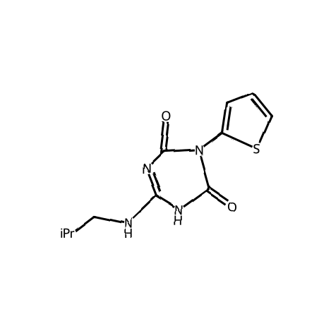 CC(C)CNc1nc(=O)n(-c2cccs2)c(=O)[nH]1